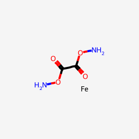 NOC(=O)C(=O)ON.[Fe]